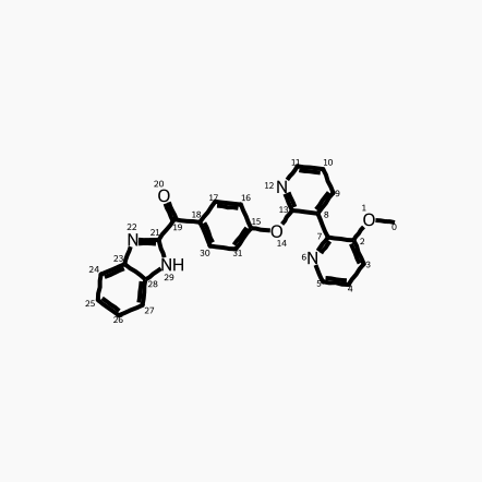 COc1cccnc1-c1cccnc1Oc1ccc(C(=O)c2nc3ccccc3[nH]2)cc1